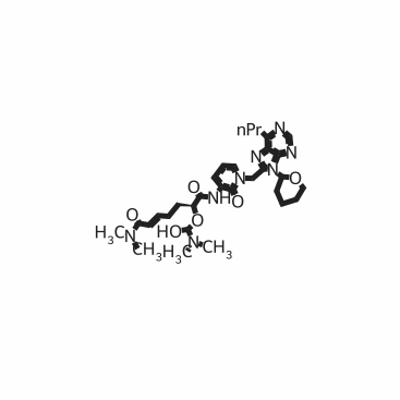 CCCc1ncnc2c1nc(Cn1cccc(NC(=O)[C@H](CC/C=C/C(=O)N(C)C)OC(O)N(C)C)c1=O)n2C1CCCCO1